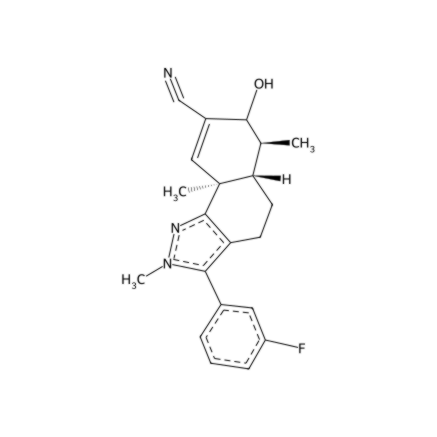 C[C@@H]1C(O)C(C#N)=C[C@]2(C)c3nn(C)c(-c4cccc(F)c4)c3CC[C@@H]12